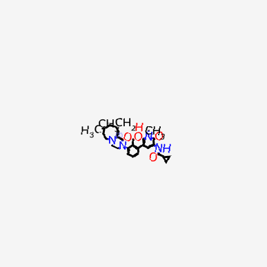 C=C1/C=C2/C(=O)N(c3cccc(-c4cc(NC(=O)C5CC5)c(=O)n(C)c4)c3CO)CCN2CCC(C)(C)C1